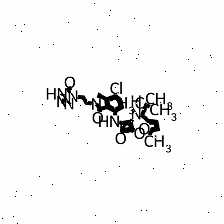 Cc1ccc(C(Nc2c(Nc3ccc(Cl)c4c3C(=O)N(CCn3nn[nH]c3=O)C4)c(=O)c2=O)C(C)(C)C)o1